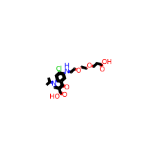 CC(C)n1cc(C(=O)O)c(=O)c2cc(NCCOCCOCCC(=O)O)c(Cl)cc21